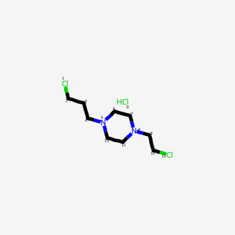 Cl.ClCCCN1CCN(CCCl)CC1